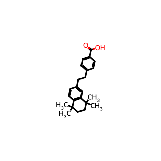 CC1(C)CCC(C)(C)c2cc(CCc3ccc(C(=O)O)cc3)ccc21